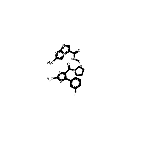 Cc1cn2c(C(=O)NC[C@@H]3CCCN3C(=O)c3nc(C)sc3-c3cccc(F)c3)cnc2s1